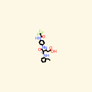 CCc1ccccc1N/C=C1/C(=O)N(c2ccc(NC(=O)C(F)(F)F)cc2)N=C1CC(=O)O